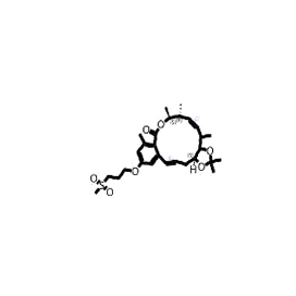 Cc1cc(OCCCS(C)(=O)=O)cc2c1C(=O)O[C@@H](C)[C@H](C)/C=C\C(C)C1OC(C)(C)O[C@H]1C/C=C/2